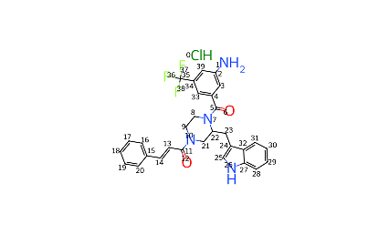 Cl.Nc1cc(C(=O)N2CCN(C(=O)C=Cc3ccccc3)CC2Cc2c[nH]c3ccccc23)cc(C(F)(F)F)c1